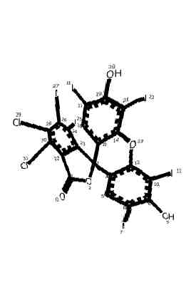 O=C1OC2(c3cc(I)c(O)c(I)c3Oc3c2cc(I)c(O)c3I)c2c(I)c(I)c(Cl)c(Cl)c21